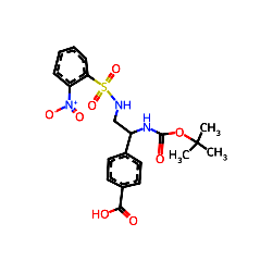 CC(C)(C)OC(=O)NC(CNS(=O)(=O)c1ccccc1[N+](=O)[O-])c1ccc(C(=O)O)cc1